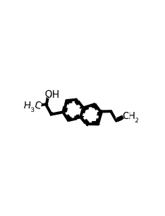 C=CCc1ccc2cc(CC(C)O)ccc2c1